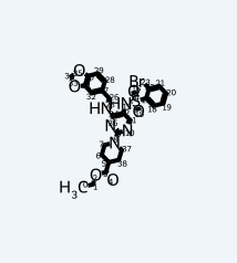 CCOC(=O)C1CCN(c2ncc(NS(=O)(=O)c3ccccc3Br)c(NCc3ccc4c(c3)OCO4)n2)CC1